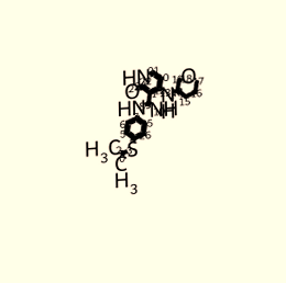 CC(C)Sc1ccc(NC(=N)c2c(N[C@@H]3CCCOC3)cc[nH]c2=O)cc1